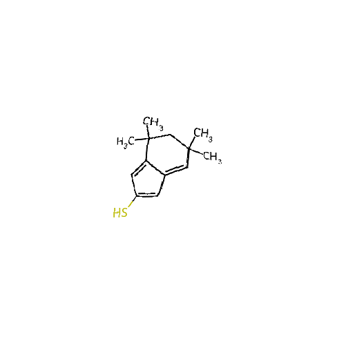 CC1(C)C=C2C=C(S)C=C2C(C)(C)C1